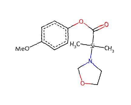 COc1ccc(OC(=O)[Si](C)(C)N2CCOC2)cc1